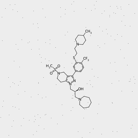 CC1CCN(CCSc2cc(-c3nn(C[C@@H](O)CN4CCCCCC4)c4c3CN(S(C)(=O)=O)CC4)ccc2C(F)(F)F)CC1